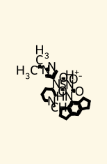 CC(C)n1cc(N(C2CCCN(C)C2)S(=O)(=O)[NH+]([O-])C(=O)Nc2c3c(cc4c2CCC4)CCC3)cn1